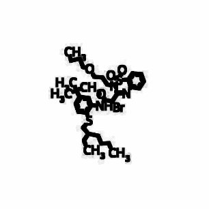 CCCCOCCCN1C(C(Br)C(=O)Nc2cc(C(C)(C)C)ccc2SCC(CC)CCCC)=Nc2ccccc2S1(=O)=O